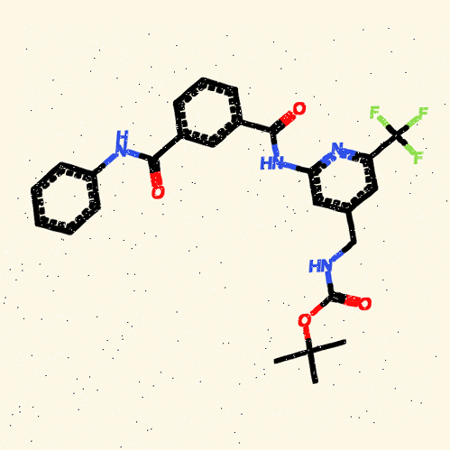 CC(C)(C)OC(=O)NCc1cc(NC(=O)c2cccc(C(=O)Nc3ccccc3)c2)nc(C(F)(F)F)c1